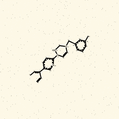 C=C/C(=C\C)c1ccc(N2C=CN(Cc3cccc(C)c3)CN2)nc1